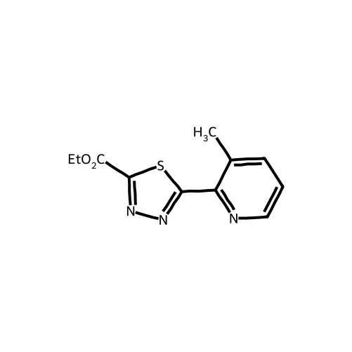 CCOC(=O)c1nnc(-c2ncccc2C)s1